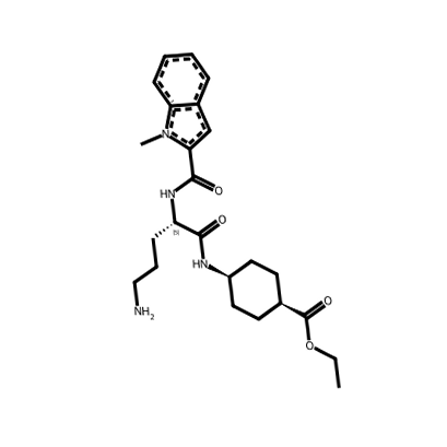 CCOC(=O)[C@H]1CC[C@@H](NC(=O)[C@H](CCCN)NC(=O)c2cc3ccccc3n2C)CC1